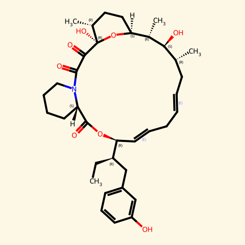 CC[C@H](Cc1cccc(O)c1)[C@@H]1/C=C/C/C=C/C[C@@H](C)[C@H](O)[C@@H](C)[C@@H]2CC[C@@H](C)[C@@](O)(O2)C(=O)C(=O)N2CCCC[C@H]2C(=O)O1